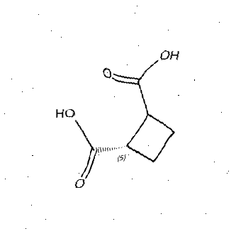 O=C(O)C1CC[C@@H]1C(=O)O